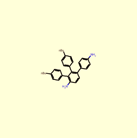 CCCCc1ccc(-c2c(N)ccc(-c3ccc(N)cc3)c2-c2ccc(CCCC)cc2)cc1